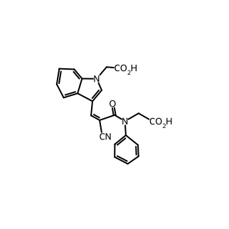 N#CC(=Cc1cn(CC(=O)O)c2ccccc12)C(=O)N(CC(=O)O)c1ccccc1